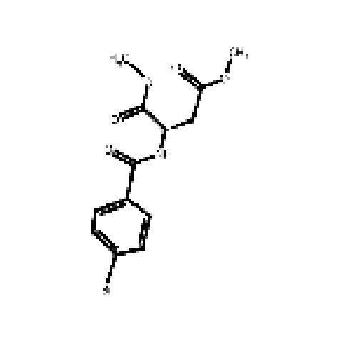 COC(=O)C[C@@H](NC(=O)c1ccc(Br)cc1)C(=O)OC